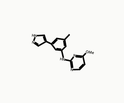 COc1ccnc(Nc2cc(C)cc(-c3cn[nH]c3)c2)n1